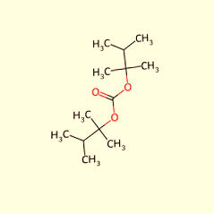 CC(C)C(C)(C)OC(=O)OC(C)(C)C(C)C